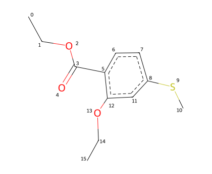 CCOC(=O)c1ccc(SC)cc1OCC